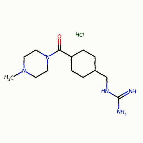 CN1CCN(C(=O)C2CCC(CNC(=N)N)CC2)CC1.Cl